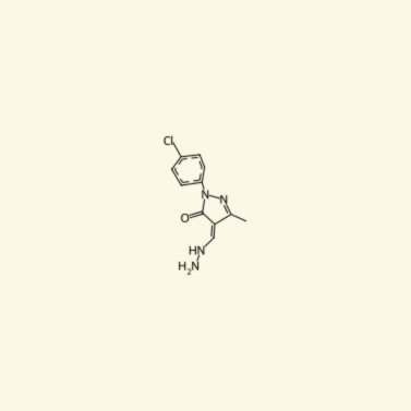 CC1=NN(c2ccc(Cl)cc2)C(=O)C1=CNN